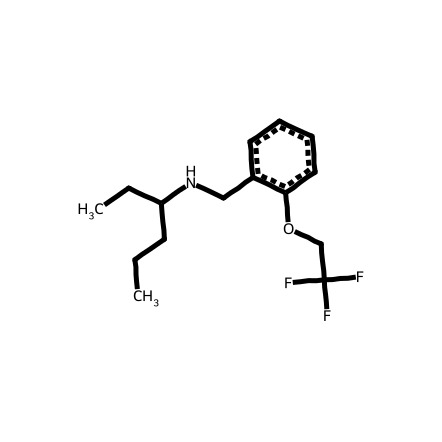 CCCC(CC)NCc1ccccc1OCC(F)(F)F